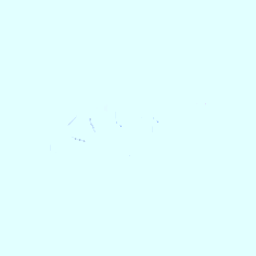 Cc1ccc(O)c(C(NCCNCCCO)C(=O)O)c1